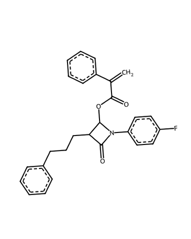 C=C(C(=O)OC1C(CCCc2ccccc2)C(=O)N1c1ccc(F)cc1)c1ccccc1